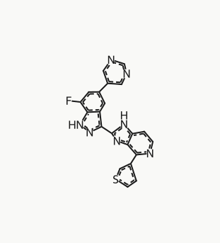 Fc1cc(-c2cncnc2)cc2c(-c3nc4c(-c5ccsc5)nccc4[nH]3)n[nH]c12